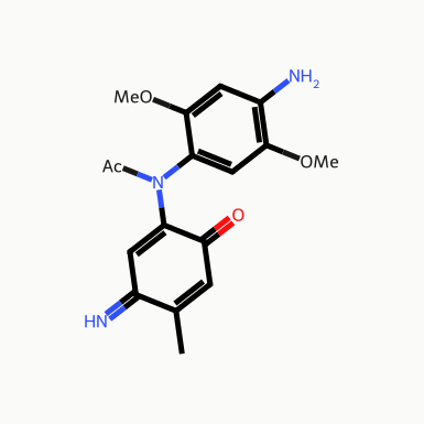 COc1cc(N(C(C)=O)C2=CC(=N)C(C)=CC2=O)c(OC)cc1N